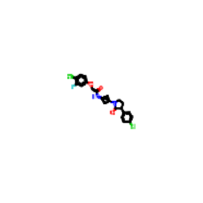 O=C(COc1ccc(Cl)c(F)c1)NC12CC(N3CCC(c4ccc(Cl)cc4)C3=O)(C1)C2